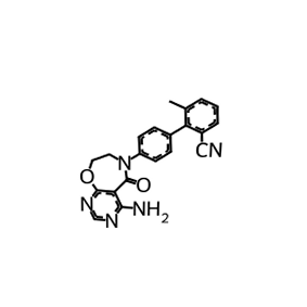 Cc1cccc(C#N)c1-c1ccc(N2CCOc3ncnc(N)c3C2=O)cc1